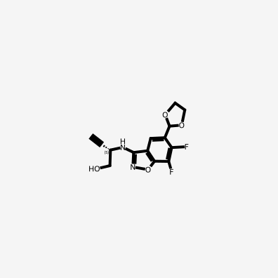 C#C[C@@H](CO)Nc1noc2c(F)c(F)c(C3OCCO3)cc12